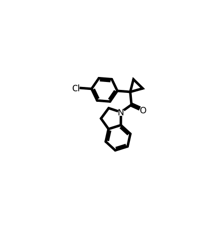 O=C(N1CCc2ccccc21)C1(c2ccc(Cl)cc2)CC1